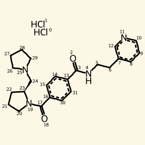 Cl.Cl.O=C(NCCc1cccnc1)c1ccc(C(=O)N2CCC[C@H]2CN2CCCC2)cc1